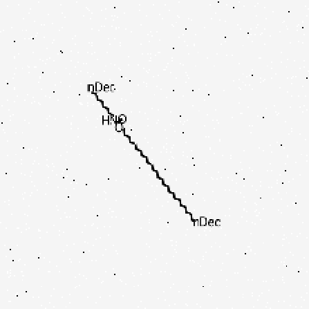 [CH2]CCCCCCCCCCCCCCCCCCCCCCCCCCCCCCCCCCCOC(=O)NCCCCCCCCCCCCCCCCCC